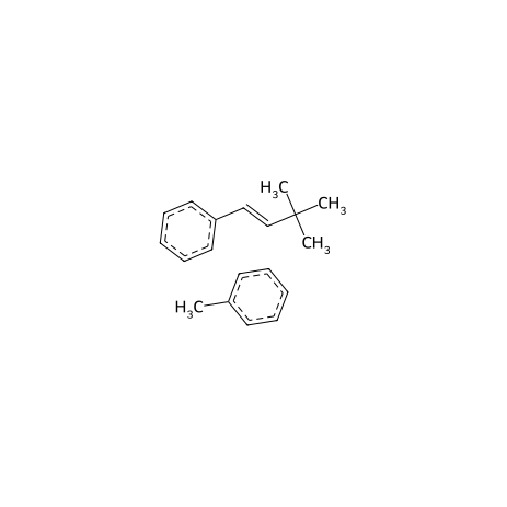 CC(C)(C)C=Cc1ccccc1.Cc1ccccc1